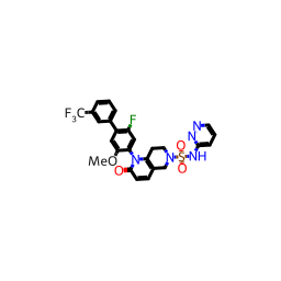 COc1cc(-c2cccc(C(F)(F)F)c2)c(F)cc1-n1c2c(ccc1=O)CN(S(=O)(=O)Nc1cccnn1)CC2